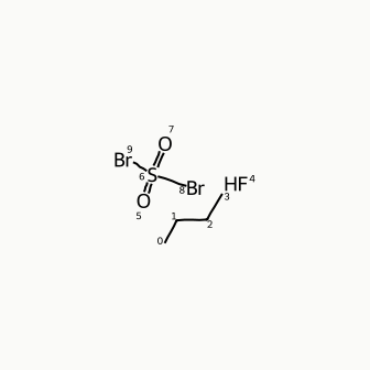 CCCC.F.O=S(=O)(Br)Br